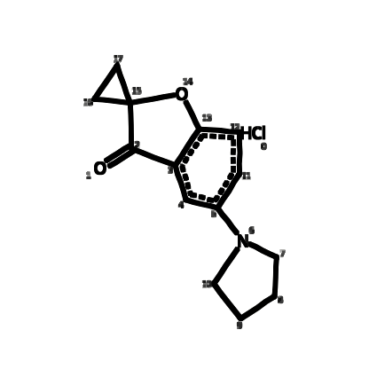 Cl.O=C1c2cc(N3CCCC3)ccc2OC12CC2